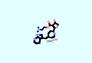 CN(C)CCOC(=O)C1=C(C2=NC=CC(=Cc3c[nH]c4ncccc34)C=C2)OCC1=O.O=CO